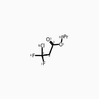 CCCOC(=O)CC(F)(F)Cl